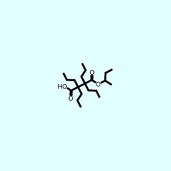 CCCC(CCC)(C(=O)O)C(CCC)(CCC)C(=O)OC(C)CC